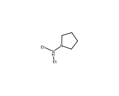 CC[SiH](CC)N1CCCC1